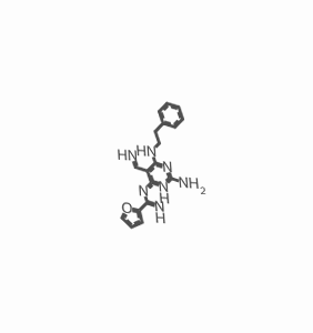 N=Cc1c(NCCc2ccccc2)nc(N)[nH]/c1=N\C(=N)c1ccco1